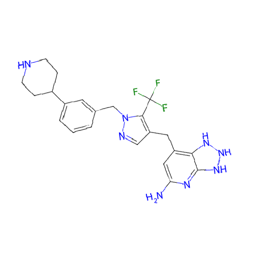 Nc1cc(Cc2cnn(Cc3cccc(C4CCNCC4)c3)c2C(F)(F)F)c2c(n1)NNN2